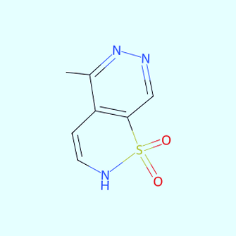 Cc1nncc2c1C=CNS2(=O)=O